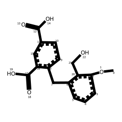 COc1cccc(Cc2ccc(C(=O)O)cc2C(=O)O)c1CO